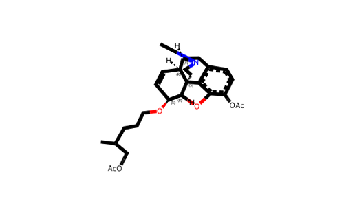 CC(=O)OCC(C)CCCO[C@H]1C=C[C@H]2[C@H]3Cc4ccc(OC(C)=O)c5c4[C@@]2(CCN3C)[C@H]1O5